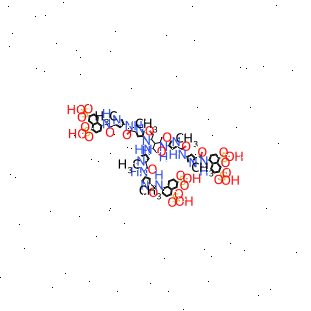 Cn1cc(NC(C=O)C(C(C=O)Nc2cc(C(=O)Nc3cc(C(=O)Nc4ccc(S(=O)(=O)O)c5cc(S(=O)(=O)O)ccc45)n(C)c3)n(C)c2)C(C=O)Nc2cc(C(=O)Nc3cc(C(=O)Nc4ccc(S(=O)(=O)O)c5cc(S(=O)(=O)O)ccc45)n(C)c3)n(C)c2)cc1C(=O)Nc1cc(C(=O)Nc2ccc(S(=O)(=O)O)c3cc(S(=O)(=O)O)ccc23)n(C)c1